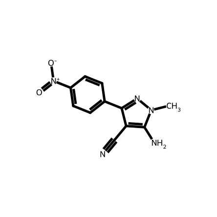 Cn1nc(-c2ccc([N+](=O)[O-])cc2)c(C#N)c1N